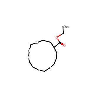 CCCCCCCCCCCOC(=O)C1CCCCCCCCCCCCCC1